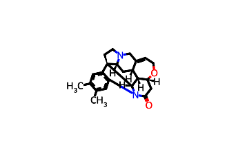 Cc1cc2c(cc1C)[C@@]13CCN4CC5=CCO[C@@H]6CC(=O)N2[C@H]1[C@@H]6[C@@H]5C[C@@H]43